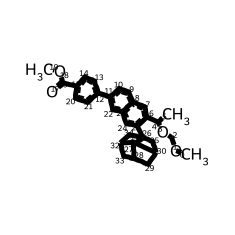 COCOC(C)c1cc2ccc(-c3ccc(C(=O)OC)cc3)cc2cc1C12CC3CC(CC(C3)C1)C2